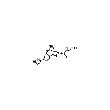 CC(C)(C(=O)NCCO)n1cc2c(N)nc3cc(-c4cc[nH]n4)ccc3c2n1